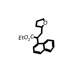 CCOC(=O)C(CC1CCCO1)c1cccc2ccccc12